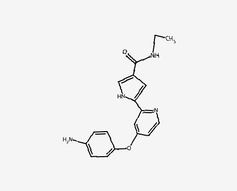 CCNC(=O)c1c[nH]c(-c2cc(Oc3ccc(N)cc3)ccn2)c1